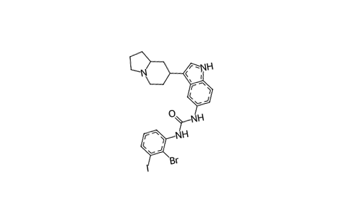 O=C(Nc1ccc2[nH]cc(C3CCN4CCCC4C3)c2c1)Nc1cccc(I)c1Br